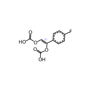 O=C(O)O/C=C(\OC(=O)O)c1ccc(F)cc1